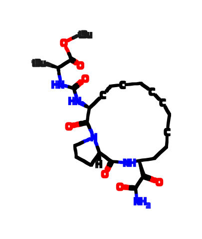 CC(C)(C)OC(=O)[C@@H](NC(=O)N[C@H]1CCCCCCCCCC[C@@H](C(=O)C(N)=O)NC(=O)[C@@H]2CCCN2C1=O)C(C)(C)C